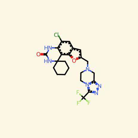 O=C1Nc2c(Cl)cc3cc(CN4CCn5c(nnc5C(F)(F)F)C4)oc3c2C2(CCCCC2)N1